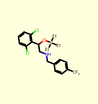 CC[Si](CC)(CC)OC(CNCc1ccc(C(F)(F)F)cc1)c1c(Cl)cccc1Cl